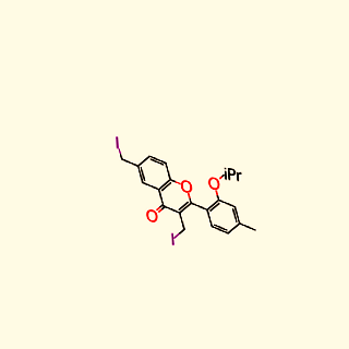 Cc1ccc(-c2oc3ccc(CI)cc3c(=O)c2CI)c(OC(C)C)c1